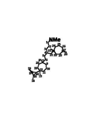 CNCCCC(CCC1(C)CCCC(C)(C2C(C)[C@H]2C)CC1)CC1(C)CCC[C@@H](C)CC1